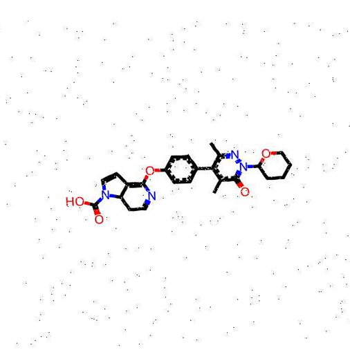 Cc1nn(C2CCCCO2)c(=O)c(C)c1-c1ccc(OC2=C3C=CN(C(=O)O)C3CC=N2)cc1